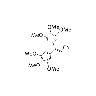 COc1cc(C(=CC#N)c2cc(OC)c(OC)c(OC)c2)cc(OC)c1OC